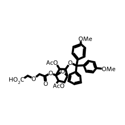 COc1ccc(C(OC2C3CC(OC(C)=O)C(OC(=O)COCC(=O)O)(O3)C2OC(C)=O)(c2ccccc2)c2ccc(OC)cc2)cc1